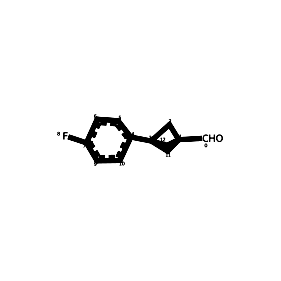 O=CC12CC(c3ccc(F)cc3)(C1)C2